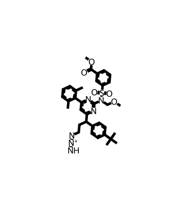 COCN(c1nc(-c2c(C)cccc2C)cc(C(CCN=[N+]=N)c2ccc(C(C)(C)C)cc2)n1)S(=O)(=O)c1cccc(C(=O)OC)c1